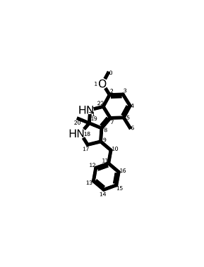 COC1=CC=C(C)C2=C3C(Cc4ccccc4)CNC3(C)NC12